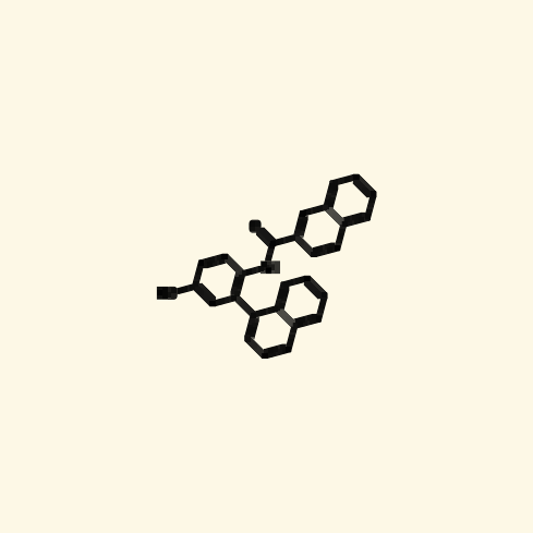 O=C(Nc1ccc(O)cc1-c1cccc2ccccc12)c1ccc2ccccc2c1